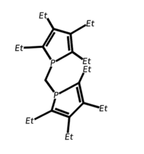 CCc1c(CC)c(CC)p(Cp2c(CC)c(CC)c(CC)c2CC)c1CC